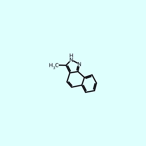 Cc1[nH]nc2c1ccc1ccccc12